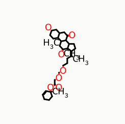 CC(CCCOCOCC(=O)OC1(C)C=CCCC1)C1CCC2C3C(=O)CC4CC(=O)CCC4(C)C3CC(=O)C12C